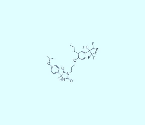 CCCc1cc(C(O)(C(F)F)C(F)(F)F)ccc1OCCCN1C(=O)NC(C)(c2ccc(OC(C)C)cc2)C1=O